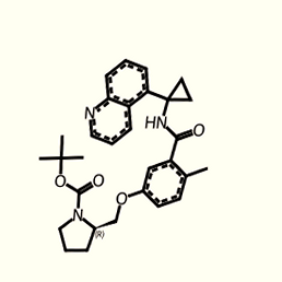 Cc1ccc(OC[C@H]2CCCN2C(=O)OC(C)(C)C)cc1C(=O)NC1(c2cccc3ncccc23)CC1